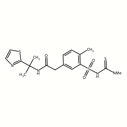 CNC(=S)NS(=O)(=O)c1cc(CC(=O)NC(C)(C)c2nccs2)ccc1C